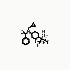 O=C(c1ccccc1)N(CC1CC1)C1CCC(C(O)(C(F)(F)F)C(F)(F)F)CC1